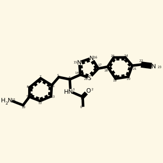 CC(=O)NC(Cc1ccc(CN)cc1)c1nnc(-c2ccc(C#N)cc2)s1